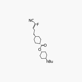 CCCC[C@H]1CC[C@H](OC(=O)[C@H]2CC[C@H](CCC=C(F)C#N)CC2)CC1